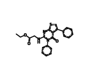 CCOC(=O)CNc1nc2scc(-c3ccccc3)c2c(=O)n1-c1ccccc1